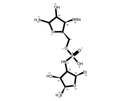 BC1O[C@H](COP(=O)(O)NC2[C@@H](CC)O[C@@H](B)[C@H]2O)[C@H](NC)C1O